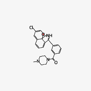 CN1CCN(C(=O)c2cccc(C3=CNC(=O)C45CC=C(Cl)C=C4C=CC=C35)c2)CC1